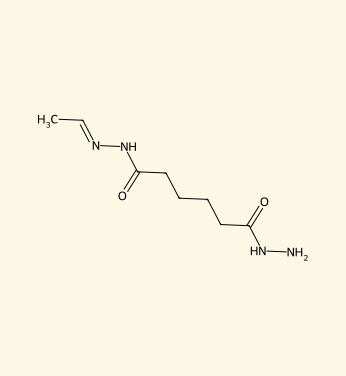 C/C=N/NC(=O)CCCCC(=O)NN